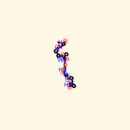 CCOc1cc(OC)ccc1CNCC(=O)N1CCCC(c2cccc(C(=O)N[C@@H](C(=O)NCCOCCNCC(=O)N3CCN(C(=O)c4cc(Cc5n[nH]c(=O)c6ccccc56)ccc4F)CC3)C3CCCCC3)c2)C1